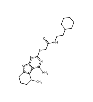 CC1CCCc2sc3nc(SCC(=O)NCCN4CCCCC4)nc(N)c3c21